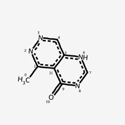 Cc1nncc2[nH]cnc(=O)c12